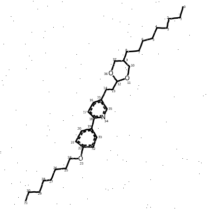 CCCCCCCCCC1COC(CCc2ccc(-c3ccc(OCCCCCCCC)cc3)nc2)OC1